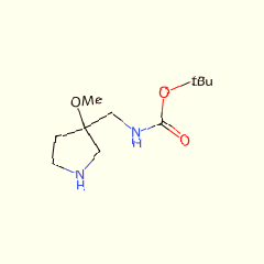 COC1(CNC(=O)OC(C)(C)C)CCNC1